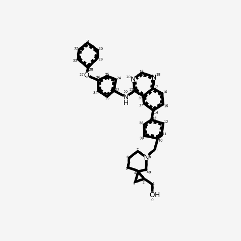 OCC1CC12CCCN(Cc1ccc(-c3ccc4ncnc(Nc5ccc(Oc6ccccc6)cc5)c4c3)cc1)C2